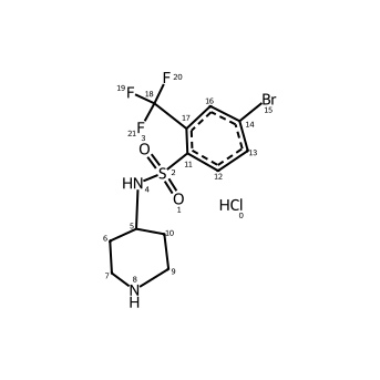 Cl.O=S(=O)(NC1CCNCC1)c1ccc(Br)cc1C(F)(F)F